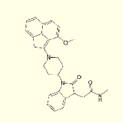 CNC(=O)CC1C(=O)N(C2CCN(C3=C4C(OC)=CC=C5C=CC=C(C3)C54)CC2)c2ccccc21